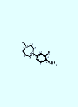 CN1CCCN(c2ccc(N)c(F)c2)CC1